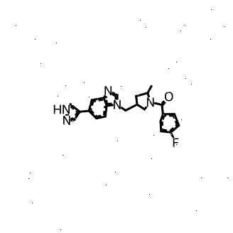 CC1CC(Cn2cnc3cc(-c4cn[nH]c4)ccc32)CN1C(=O)c1ccc(F)cc1